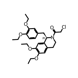 CCOc1ccc(C[C@@H]2c3cc(OCC)c(OCC)cc3CCN2C(=O)CCl)cc1OCC